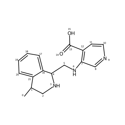 CC1CNC(CNc2cnccc2C(=O)O)c2ccccc21